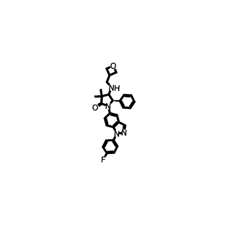 CC1(C)C(=O)N(c2ccc3c(cnn3-c3ccc(F)cc3)c2)[C@H](c2ccccc2)C1NCC1COC1